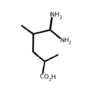 CC(CC(C)C(N)N)C(=O)O